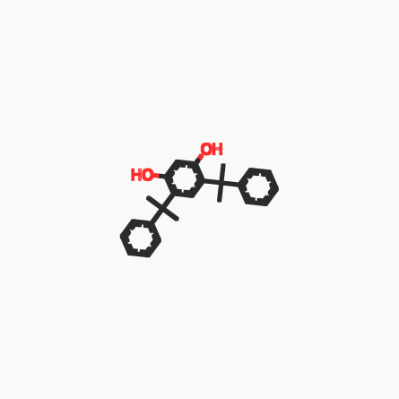 CC(C)(c1ccccc1)c1cc(C(C)(C)c2ccccc2)c(O)cc1O